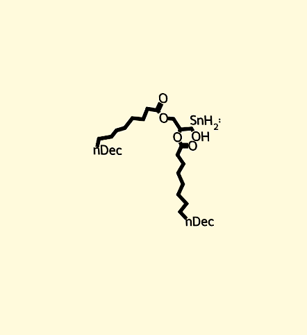 CCCCCCCCCCCCCCCCCC(=O)OCC(CO)OC(=O)CCCCCCCCCCCCCCCCC.[SnH2]